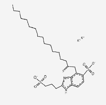 CCCCCCCCCCCCCCCC(=S)Cc1c(S(=O)(=O)[O-])ccc2[nH]c(CCCS(=O)(=O)[O-])nc12.[K+].[K+]